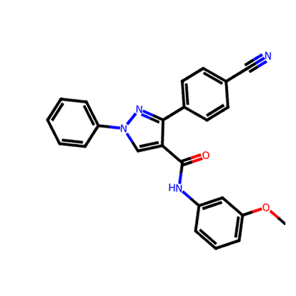 COc1cccc(NC(=O)c2cn(-c3ccccc3)nc2-c2ccc(C#N)cc2)c1